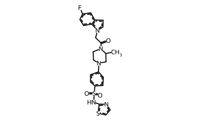 CC1CN(c2ccc(S(=O)(=O)Nc3nccs3)cc2)CCN1C(=O)Cn1ccc2cc(F)ccc21